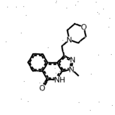 Cn1nc(CN2CCOCC2)c2c3ccccc3c(=O)[nH]c21